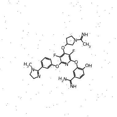 CC(=N)N1CCC(Oc2c(F)c(Oc3cccc(C4=NCCN4C)c3)nc(Oc3cc(C(=N)N)ccc3O)c2F)C1